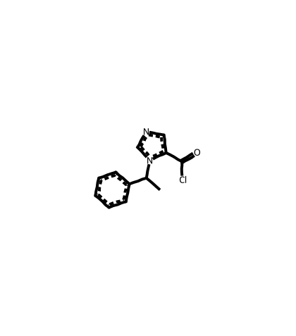 CC(c1ccccc1)n1cncc1C(=O)Cl